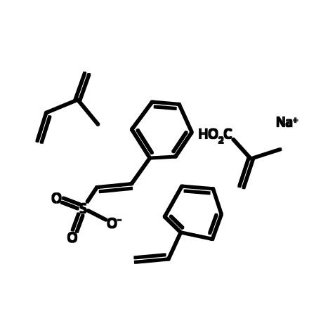 C=C(C)C(=O)O.C=CC(=C)C.C=Cc1ccccc1.O=S(=O)([O-])C=Cc1ccccc1.[Na+]